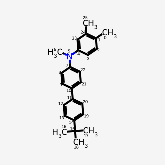 Cc1ccc(N(C)c2ccc(-c3ccc(C(C)(C)C)cc3)cc2)cc1C